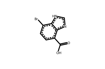 O=C(O)c1ccc(Br)c2[nH]cnc12